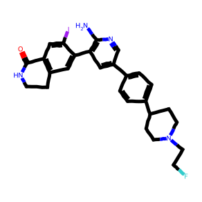 Nc1ncc(-c2ccc(C3CCN(CCF)CC3)cc2)cc1-c1cc2c(cc1I)C(=O)NCC2